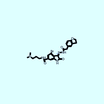 CN(C)CCCNC(=O)c1cc(Br)c2c(c1)NC(=O)/C2=N\NC(=O)Cc1ccc2c(c1)CCO2